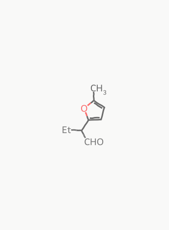 CCC(C=O)c1ccc(C)o1